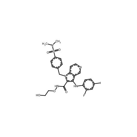 CN(C)S(=O)(=O)c1ccc(Cn2c(C(=O)NOCCO)c(Nc3ccc(I)cc3F)c3cnccc32)cc1